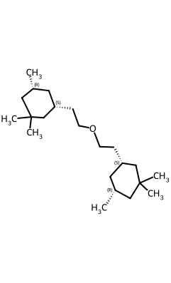 C[C@@H]1C[C@H](CCOCC[C@H]2C[C@@H](C)CC(C)(C)C2)CC(C)(C)C1